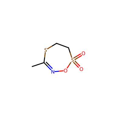 CC1=NOS(=O)(=O)CCS1